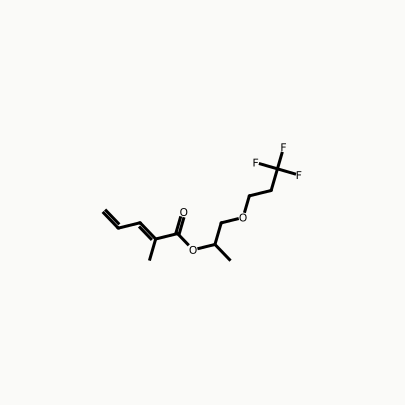 C=C/C=C(\C)C(=O)OC(C)COCCC(F)(F)F